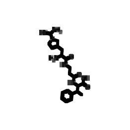 CC(c1ccccc1)C(NC(=O)CCNC(=O)C(N)CC1=CCN(C(=N)N)C1)C(=O)O